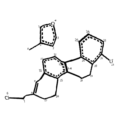 Cc1ccoc1.ClCC1=Cc2ccc3c(c2CC1)CCc1c(Cl)cccc1-3